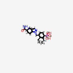 CCc1c(Cn2ncc3cc(C(N)=O)ccc32)ccc(P(=O)(O)O)c1CC